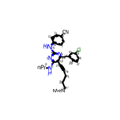 CCCNc1nc(Nc2ccc(C#N)cc2)nc(-c2cccc(Cl)c2)c1C#CCCCNC